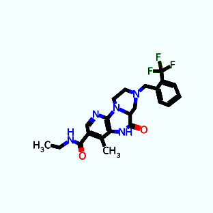 CCNC(=O)c1cnc2c(c1C)NC(=O)C1CN(Cc3ccccc3C(F)(F)F)CCN21